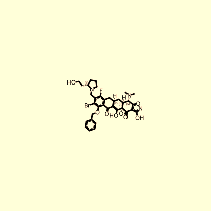 CN(C)[C@@H]1c2onc(O)c2C(=O)[C@@]2(O)C(O)=C3C(=O)c4c(c(F)c(CN5CCC[C@H]5CCO)c(Br)c4OCc4ccccc4)C[C@H]3C[C@@H]12